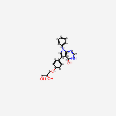 OCC(O)COc1ccc(-c2cn(-c3ccccc3)c3c2C(O)NC=N3)cc1